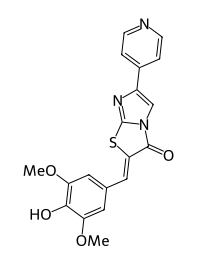 COc1cc(/C=c2\sc3nc(-c4ccncc4)cn3c2=O)cc(OC)c1O